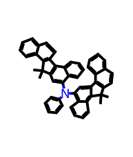 CC1(C)c2cc(N(c3ccccc3)c3cc4c(c5ccccc35)C(C)(C)c3ccc5ccccc5c3-4)c3ccccc3c2-c2ccc3ccccc3c21